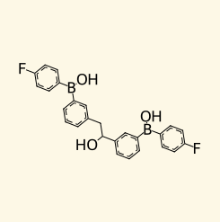 OB(c1ccc(F)cc1)c1cccc(CC(O)c2cccc(B(O)c3ccc(F)cc3)c2)c1